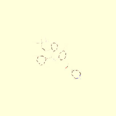 COc1cc(OC(=O)c2ccncc2)ccc1-c1ccc2c(c1C(N)c1cc(F)ccc1C)C(C)=CC(C)(C)N2